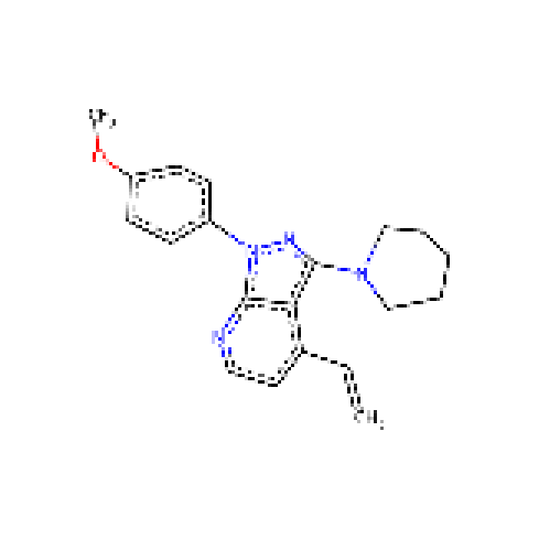 C=Cc1ccnc2c1c(N1CCCCC1)nn2-c1ccc(OC(F)(F)F)cc1